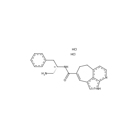 Cl.Cl.NC[C@H](Cc1ccccc1)NC(=O)C1=Cc2c[nH]c3nccc(c23)CC1